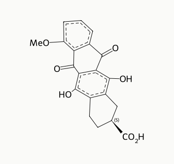 COc1cccc2c1C(=O)c1c(O)c3c(c(O)c1C2=O)C[C@@H](C(=O)O)CC3